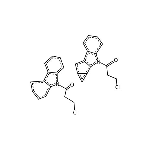 O=C(CCCl)n1c2ccccc2c2cc3cc-3c21.O=C(CCCl)n1c2ccccc2c2ccccc21